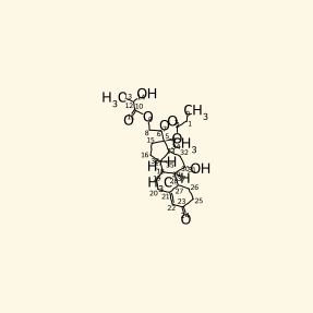 CCC(=O)O[C@]1(C(=O)COC(=O)C(C)O)CC[C@H]2[C@@H]3CCC4=CC(=O)CC[C@]4(C)[C@H]3[C@@H](O)C[C@@]21C